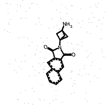 NC12CC(N3C(=O)c4cc5ccccc5cc4C3=O)(C1)C2